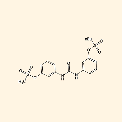 CCCCS(=O)(=O)Oc1cccc(NC(=O)Nc2cccc(OS(C)(=O)=O)c2)c1